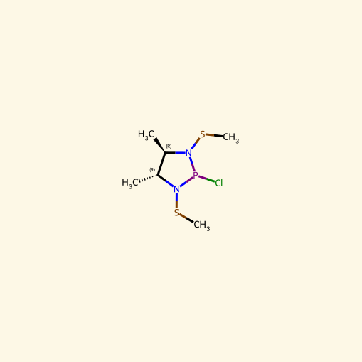 CSN1[C@H](C)[C@@H](C)N(SC)P1Cl